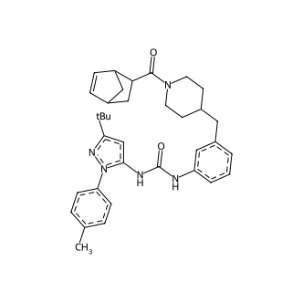 Cc1ccc(-n2nc(C(C)(C)C)cc2NC(=O)Nc2cccc(CC3CCN(C(=O)C4CC5C=CC4C5)CC3)c2)cc1